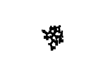 N=C=S.O=CC(O)C(O)(C1=CCC1)C(O)C(O)CO